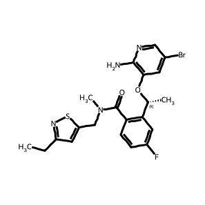 CCc1cc(CN(C)C(=O)c2ccc(F)cc2[C@@H](C)Oc2cc(Br)cnc2N)sn1